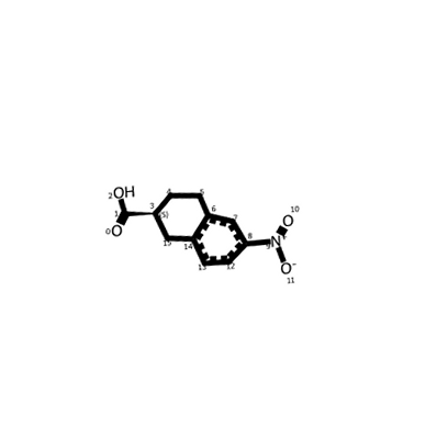 O=C(O)[C@H]1CCc2cc([N+](=O)[O-])ccc2C1